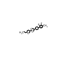 CCCC1CCC(C2OCC(C3CCC(c4ccc(C)c(F)c4F)CC3)CO2)CO1